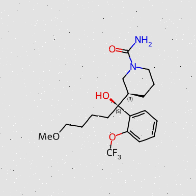 COCCCC[C@@](O)(c1ccccc1OC(F)(F)F)[C@@H]1CCCN(C(N)=O)C1